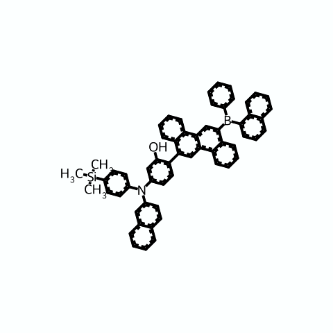 C[Si](C)(C)c1ccc(N(c2ccc(-c3cc4c5ccccc5c(B(c5ccccc5)c5cccc6ccccc56)cc4c4ccccc34)c(O)c2)c2ccc3ccccc3c2)cc1